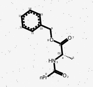 CCCC(=O)N[C@@H](C)C(=O)OCc1ccccc1